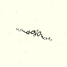 CCCCCc1cnc(-c2ccc(OC(=O)[C@H]3CC[C@H](CCCCC)CC3)cc2)nc1